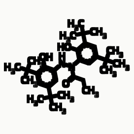 CCC(=O)N(Nc1cc(C(C)(C)C)cc(C(C)(C)C)c1O)c1cc(C(C)(C)C)cc(C(C)(C)C)c1O